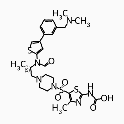 Cc1nc(NC(=O)O)sc1S(=O)(=O)N1CCN(C[C@H](C)N(C=O)c2cc(-c3cccc(CN(C)C)c3)cs2)CC1